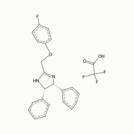 Fc1ccc(OCC2=N[C@H](c3ccccc3)[C@H](c3ccccc3)N2)cc1.O=C(O)C(F)(F)F